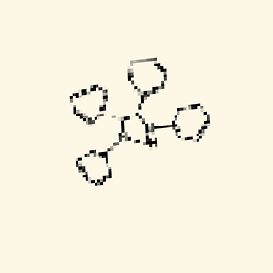 c1ccc([C@@H]2[C@@H](c3ccccc3)N(c3ccccc3)PN2c2ccccc2)cc1